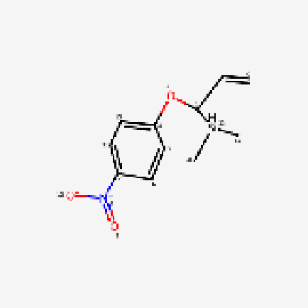 C=CC(Oc1ccc([N+](=O)[O-])cc1)[SiH](C)C